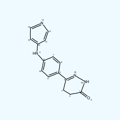 O=C1CCC(c2ccc(Nc3ccncc3)cc2)=NN1